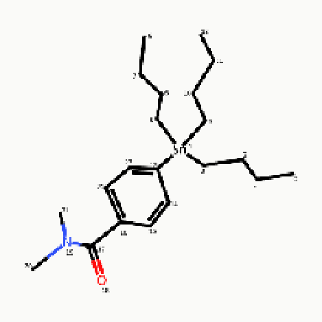 CCC[CH2][Sn]([CH2]CCC)([CH2]CCC)[c]1ccc(C(=O)N(C)C)cc1